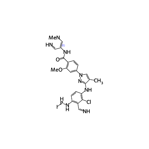 CN/C=C(\C=N)NC(=O)c1ccc(-n2cc(C)c(Nc3ccc(NPI)c(C=N)c3Cl)n2)cc1OC